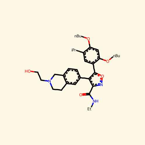 CCCCOc1cc(OCCCC)c(C(C)C)cc1-c1onc(C(=O)NCC)c1-c1ccc2c(c1)CCN(CCO)C2